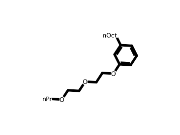 CCCCCCCCc1cccc(OCCOCCOCCC)c1